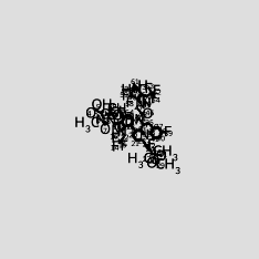 CN(CC(=O)O)C(=O)N(c1nn(CC(F)(F)F)c2c(-c3ccc(C#CC(C)(C)S(C)(=O)=O)nc3C(Cc3cc(F)cc(F)c3)NC(=O)Cn3nc(C(F)(F)F)c4c3C(F)(F)[C@@H]3C[C@H]43)ccc(Cl)c12)S(C)(=O)=O